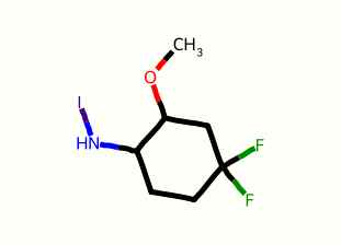 COC1CC(F)(F)CCC1NI